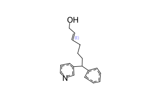 OC/C=C/CCCC(c1ccccc1)c1cccnc1